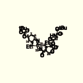 CCc1c2c(nc3ccc(OC(=O)OC(C)(C)C)cc13)-c1cc3c(c(=O)n1C2)COC(=O)[C@@]3(CC)OC(=O)CNC(=O)OC(C)(C)C